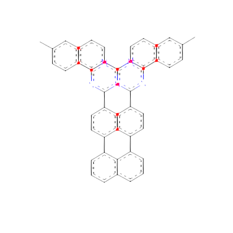 Cc1ccc(-c2nc(-c3ccccc3)nc(-c3ccc(-c4cccc5cccc(-c6ccc(-c7nc(-c8ccccc8)nc(-c8ccc(C)cc8)n7)cc6)c45)cc3)n2)cc1